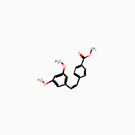 COC(=O)c1ccc(/C=C\c2cc(OC)cc(OC)c2)cc1